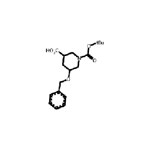 CC(C)(C)OC(=O)N1CC(OCc2ccccc2)CC(C(=O)O)C1